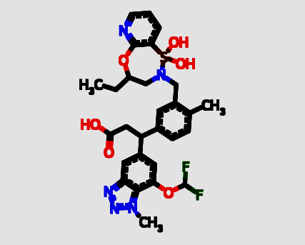 CCC1CN(Cc2cc(C(CC(=O)O)c3cc(OC(F)F)c4c(c3)nnn4C)ccc2C)S(O)(O)c2cccnc2O1